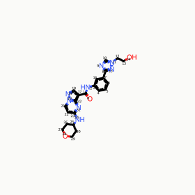 O=C(Nc1cccc(-c2ncn(CCO)n2)c1)c1cnn2ccc(NC3CCOCC3)nc12